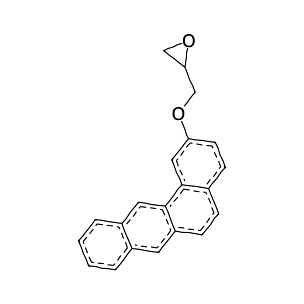 c1ccc2cc3c(ccc4ccc(OCC5CO5)cc43)cc2c1